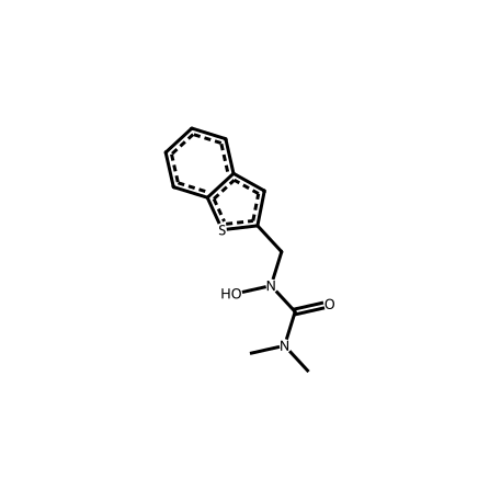 CN(C)C(=O)N(O)Cc1cc2ccccc2s1